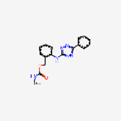 CC(C)(C)NC(=O)OCc1ccccc1Nc1nnc(-c2ccccc2)nn1